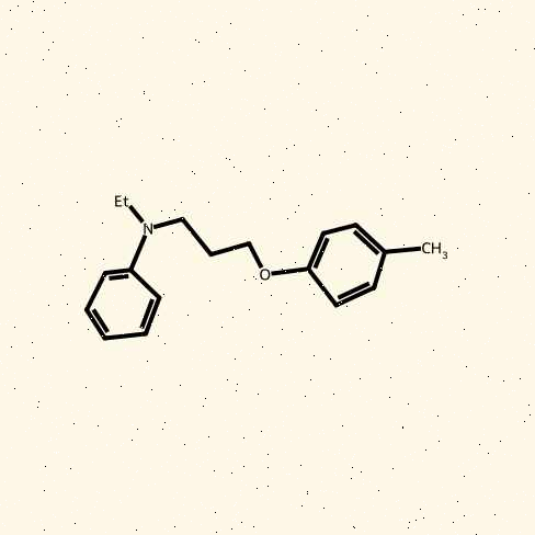 CCN(CCCOc1ccc(C)cc1)c1ccccc1